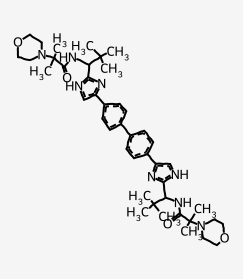 CC(C)(C)C(NC(=O)C(C)(C)N1CCOCC1)c1nc(-c2ccc(-c3ccc(-c4c[nH]c(C(NC(=O)C(C)(C)N5CCOCC5)C(C)(C)C)n4)cc3)cc2)c[nH]1